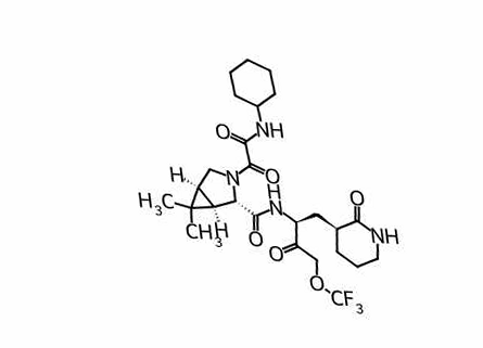 CC1(C)[C@@H]2[C@@H](C(=O)N[C@@H](C[C@@H]3CCCNC3=O)C(=O)COC(F)(F)F)N(C(=O)C(=O)NC3CCCCC3)C[C@@H]21